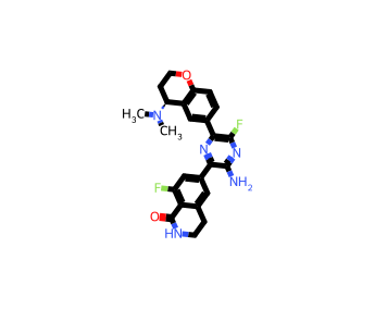 CN(C)[C@@H]1CCOc2ccc(-c3nc(-c4cc(F)c5c(c4)CCNC5=O)c(N)nc3F)cc21